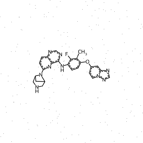 Cc1c(Oc2ccn3ncnc3c2)ccc(Nc2ncnc3ccc(N4C5CNCC4C5)nc23)c1F